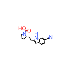 N#Cc1ccc2cc(CC[C@@H]3CCCN3C(=O)O)[nH]c2c1